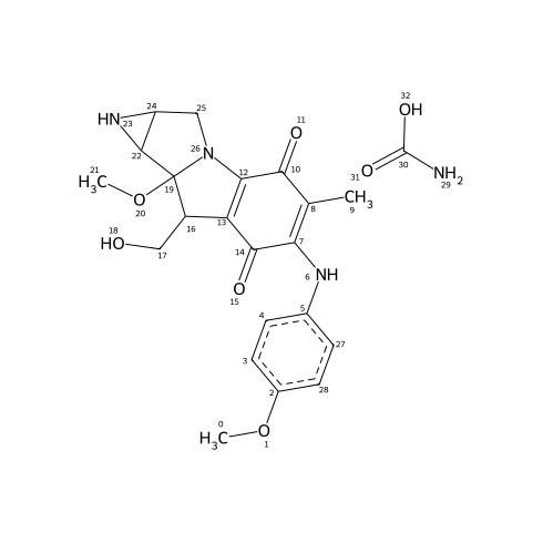 COc1ccc(NC2=C(C)C(=O)C3=C(C2=O)C(CO)C2(OC)C4NC4CN32)cc1.NC(=O)O